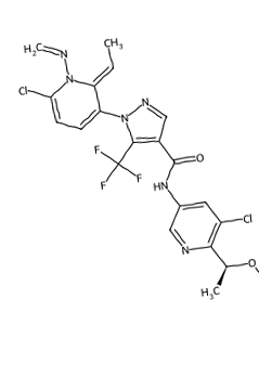 C=NN1C(Cl)=CC=C(n2ncc(C(=O)Nc3cnc([C@H](C)OC)c(Cl)c3)c2C(F)(F)F)/C1=C/C